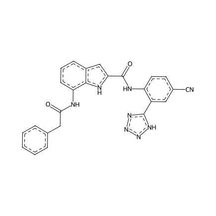 N#Cc1ccc(NC(=O)c2cc3cccc(NC(=O)Cc4ccccc4)c3[nH]2)c(-c2nnn[nH]2)c1